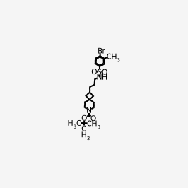 Cc1cc(S(=O)(=O)NCCCC2CC3(CCN(C(=O)OC(C)(C)C)CC3)C2)ccc1Br